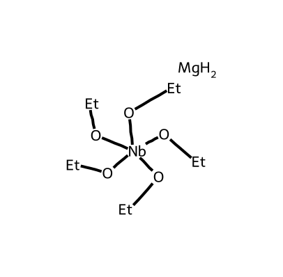 CC[O][Nb]([O]CC)([O]CC)([O]CC)[O]CC.[MgH2]